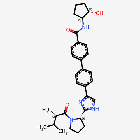 CC(C)[C@H](C)C(=O)N1CCC[C@H]1c1nc(-c2ccc(-c3ccc(C(=O)N[C@H]4CCC[C@@H]4O)cc3)cc2)c[nH]1